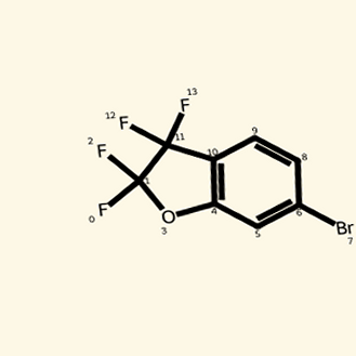 FC1(F)Oc2cc(Br)ccc2C1(F)F